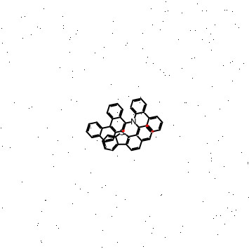 c1ccc(-c2ccccc2N(c2cc3ccc4ccccc4c3c3ccccc23)c2cccc3ccc4c5ccccc5sc4c23)cc1